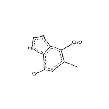 Cc1cc(Cl)c2[nH]ccc2c1C=O